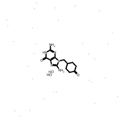 Cl.Cl.Nc1nc2c(nc(N)n2CC2CCC(=O)CC2)c(=O)[nH]1